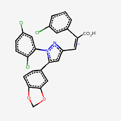 O=C(O)/C(=C/c1cc(-c2ccc3c(c2)OCO3)n(-c2cc(Cl)ccc2Cl)n1)c1cccc(Cl)c1